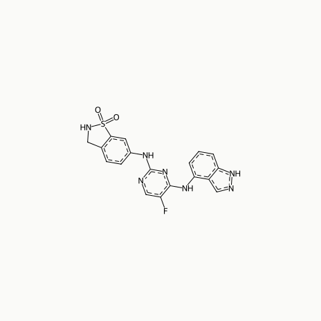 O=S1(=O)NCc2ccc(Nc3ncc(F)c(Nc4cccc5[nH]ncc45)n3)cc21